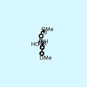 COC(=O)CC1CCC(N(CCO)NS(=O)(=O)c2ccc(-c3ccc(OC)cc3)cc2)CC1